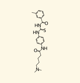 Cc1cccc(C(=O)NC(=S)Nc2ccc(NC(=O)CCCCN(C)C)cc2)c1